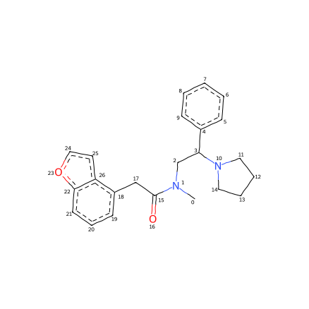 CN(CC(c1ccccc1)N1CCCC1)C(=O)Cc1cccc2occc12